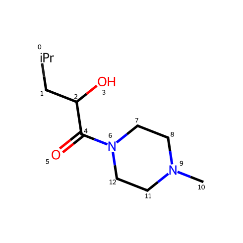 CC(C)CC(O)C(=O)N1CCN(C)CC1